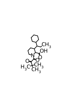 CCC(C1CCCCC1)C1CCCN(C(=O)C(=O)C(C)(C)C)C1C(=O)O